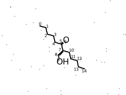 CCCCCC(=O)C(=CO)CCCCC